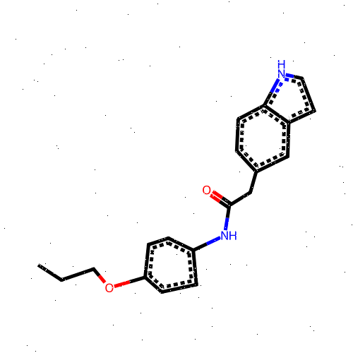 CCCOc1ccc(NC(=O)Cc2ccc3[nH]ccc3c2)cc1